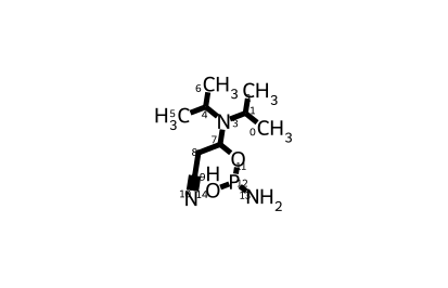 CC(C)N(C(C)C)C(CC#N)OP(N)O